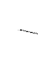 [CH2]/C=C/CCCCCCCCCCC/C=C/C